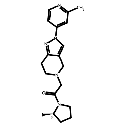 Cc1cc(-n2cc3c(n2)CCN(CC(=O)N2CCC[C@H]2I)C3)ccn1